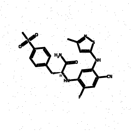 Cc1cc(Nc2cc(N[C@H](Cc3ccc(S(C)(=O)=O)cc3)C(N)=O)c(F)cc2C#N)sn1